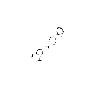 CC(=O)N1C[C@H](OC(=O)N2CCN(c3ncccn3)CC2)C[C@H]1C(=O)O